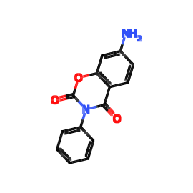 Nc1ccc2c(=O)n(-c3ccccc3)c(=O)oc2c1